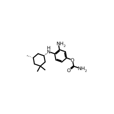 C[C@@H]1C[C@H](Nc2ccc(OC(N)=O)cc2N)CC(C)(C)C1